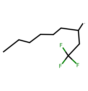 [CH2]C(CCCCCC)CC(F)(F)F